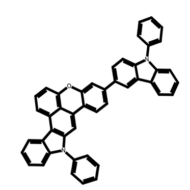 c1ccc(-n2c3ccccc3c3cc(-c4ccc5c(c4)Oc4cccc6c4c-5cc4c6c5ccccc5n4-c4ccccc4)ccc32)cc1